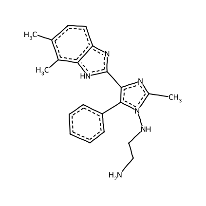 Cc1ccc2nc(-c3nc(C)n(NCCN)c3-c3ccccc3)[nH]c2c1C